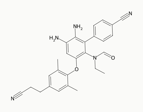 CCN(C=O)c1c(Oc2c(C)cc(CCC#N)cc2C)cc(N)c(N)c1-c1ccc(C#N)cc1